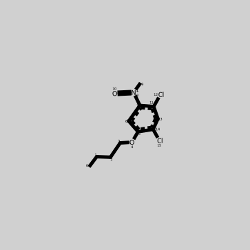 CCCCOc1cc([N+](C)=O)c(Cl)cc1Cl